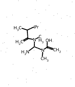 C=C(O)N(C)C(N)N(C)C(=C)C(C)C(C)C